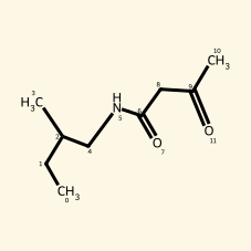 CCC(C)CNC(=O)CC(C)=O